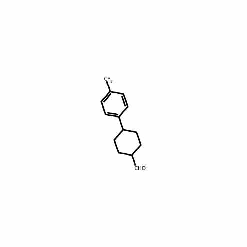 O=CC1CCC(c2ccc(C(F)(F)F)cc2)CC1